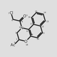 CC(=O)C1CN(C(=O)CCl)c2c(ccc3ccccc23)O1